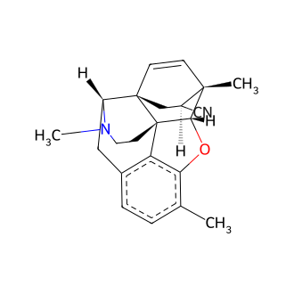 Cc1ccc2c3c1O[C@H]1[C@@]4(C)C=C[C@@]5(C[C@@H]4C#N)[C@@H](C2)N(C)CC[C@]315